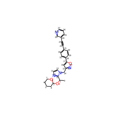 CC(OC1CCCCO1)c1nccn1Cc1cc(-c2ccc(C#Cc3cccnc3)cc2)on1